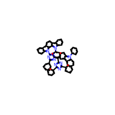 c1ccc(-c2nc(-c3ccccc3)nc(-c3ccc(-n4c5ccccc5c5ccc6c7ccccc7n(-c7nc(-c8ccccc8)nc(-c8ccc9c(c8)c8ccccc8n9-c8ccccc8)n7)c6c54)cc3)n2)cc1